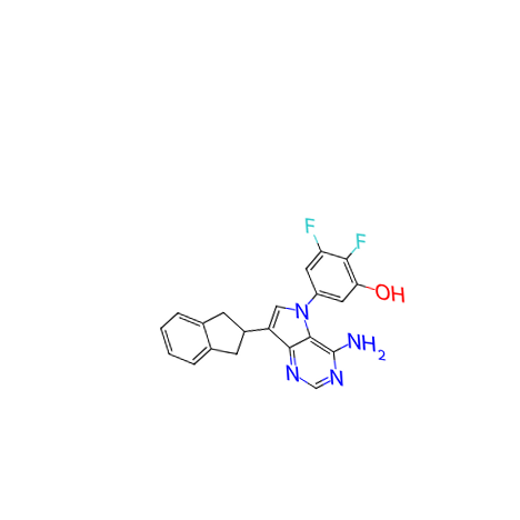 Nc1ncnc2c(C3Cc4ccccc4C3)cn(-c3cc(O)c(F)c(F)c3)c12